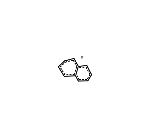 [B].c1ccc2ccccc2c1